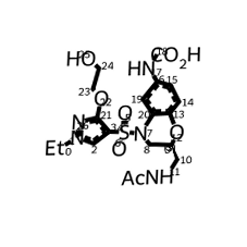 CCn1cc(S(=O)(=O)N2C[C@H](CNC(C)=O)Oc3ccc(NC(=O)O)cc32)c(OCCO)n1